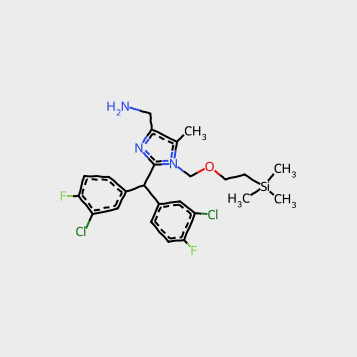 Cc1c(CN)nc(C(c2ccc(F)c(Cl)c2)c2ccc(F)c(Cl)c2)n1COCC[Si](C)(C)C